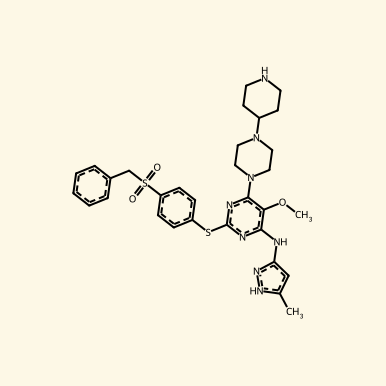 COc1c(Nc2cc(C)[nH]n2)nc(Sc2ccc(S(=O)(=O)Cc3ccccc3)cc2)nc1N1CCN(C2CCNCC2)CC1